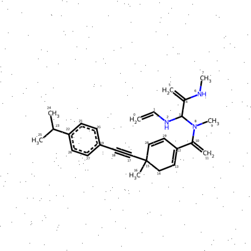 C=CNC(C(=C)NC)N(C)C(=C)C1=CCC(C)(C#Cc2ccc(C(C)C)cc2)C=C1